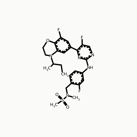 CCC(C)N1CCOc2c(F)cc(-c3nc(Nc4ccc(CN(C)S(C)(=O)=O)c(F)c4)ncc3F)cc21